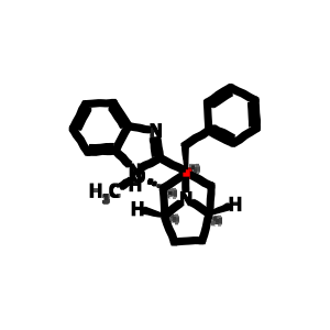 CO[C@@H]1[C@@H](Cc2ccccc2)C[C@@H]2CC[C@H]1N2Cc1nc2ccccc2[nH]1